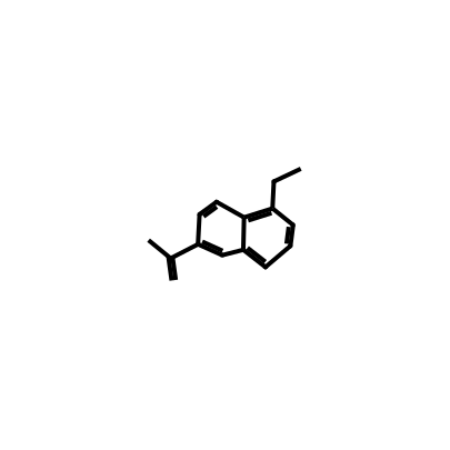 C=C(C)c1ccc2c(CC)cccc2c1